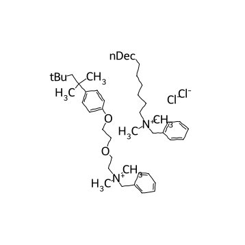 CC(C)(C)CC(C)(C)c1ccc(OCCOCC[N+](C)(C)Cc2ccccc2)cc1.CCCCCCCCCCCCCCCC[N+](C)(C)Cc1ccccc1.[Cl-].[Cl-]